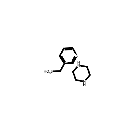 C1CNCCN1.O=S(=O)(O)Cc1cccnc1